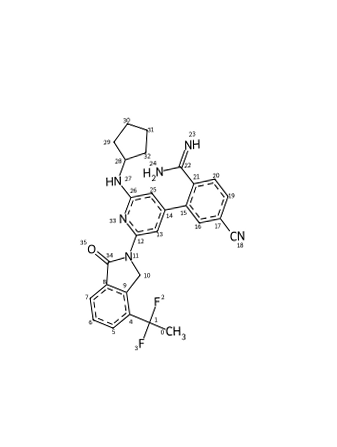 CC(F)(F)c1cccc2c1CN(c1cc(-c3cc(C#N)ccc3C(=N)N)cc(NC3CCCC3)n1)C2=O